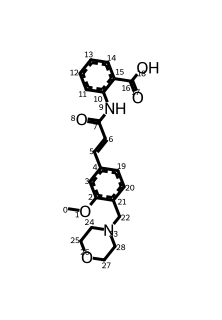 COc1cc(/C=C/C(=O)Nc2ccccc2C(=O)O)ccc1CN1CCOCC1